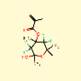 C=C(C)C(=O)OC1(C(F)(F)F)C(F)(F)C(C)(C(F)(F)F)OC(O)(C(F)(F)F)C1(F)F